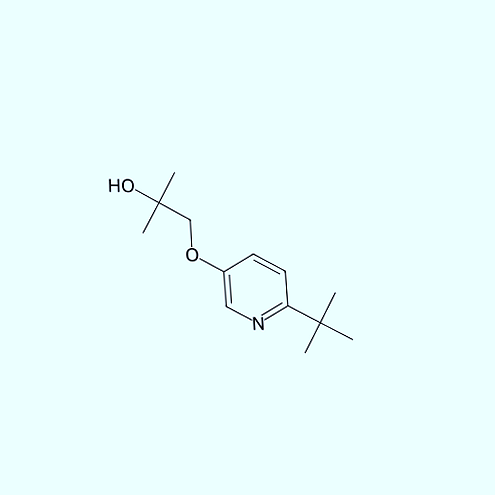 CC(C)(O)COc1ccc(C(C)(C)C)nc1